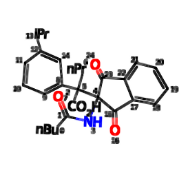 CCCCC(=O)NC1(C(CCC)(C(=O)O)c2cccc(C(C)C)c2)C(=O)c2ccccc2C1=O